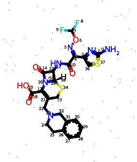 Nc1nc(C(=NOC(F)F)C(=O)NC2C(=O)N3C(C(=O)O)=C(CN4CCc5ccccc5C4)CS[C@@H]23)cs1